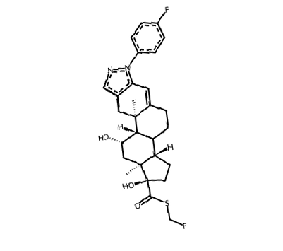 C[C@]12Cc3cnn(-c4ccc(F)cc4)c3C=C1CCC1[C@@H]2[C@@H](O)C[C@@]2(C)[C@H]1CC[C@]2(O)C(=O)SCF